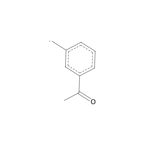 [CH2]c1cccc(C(C)=O)c1